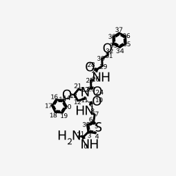 N=C(N)c1csc(CNC(=O)[C@@H]2C[C@@H](Oc3ccccc3)CN2C(=O)CNC(=O)CCCOc2ccccc2)c1